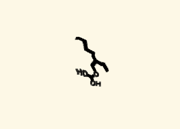 CCCCC(CC)COC(O)O